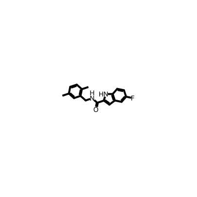 Cc1ccc(C)c(CNC(=O)c2cc3cc(F)ccc3[nH]2)c1